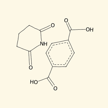 O=C(O)c1ccc(C(=O)O)cc1.O=C1CCCC(=O)N1